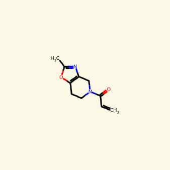 C=CC(=O)N1CCc2oc(C)nc2C1